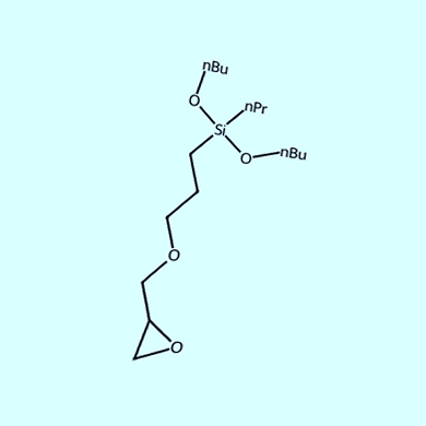 CCCCO[Si](CCC)(CCCOCC1CO1)OCCCC